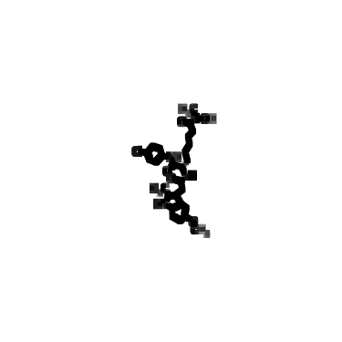 COc1ccc2[nH]c(C)c(CC(=O)N[C@@H](CCCCCC(=O)N(C)O)C(=O)Nc3ccc(Cl)cc3)c2c1